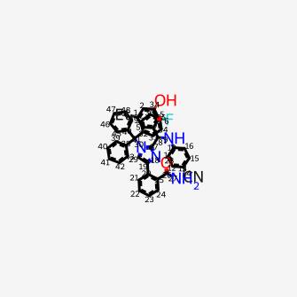 CCc1cc(O)c(F)c(C(Nc2ccc(C#N)cc2)c2nc(-c3ccccc3C(N)=O)cn2C(c2ccccc2)(c2ccccc2)c2ccccc2)c1